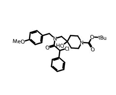 COc1ccc(CN(CC2(O)CCN(C(=O)OC(C)(C)C)CC2)C(=O)C(Cl)c2ccccc2)cc1